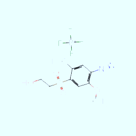 COc1cc(S(=O)(=O)CCO)c(C)cc1[N+]#N.F[B-](F)(F)F